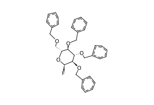 F[C@H]1O[C@H](COCc2ccccc2)[C@@H](OCc2ccccc2)[C@H](OCc2ccccc2)[C@H]1OCc1ccccc1